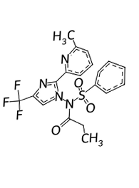 CCC(=O)N(n1cc(C(F)(F)F)nc1-c1cccc(C)n1)S(=O)(=O)c1ccccc1